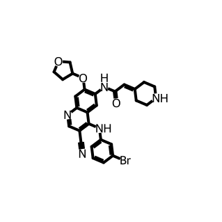 N#Cc1cnc2cc(OC3CCOC3)c(NC(=O)C=C3CCNCC3)cc2c1Nc1cccc(Br)c1